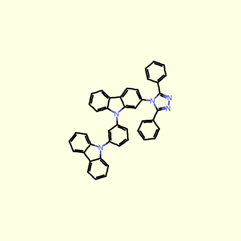 c1ccc(-c2nnc(-c3ccccc3)n2-c2ccc3c4ccccc4n(-c4cccc(-n5c6ccccc6c6ccccc65)c4)c3c2)cc1